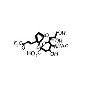 CC(=O)NC1C(O)CC(Oc2ccccc2CCC(=O)C(F)(F)F)(C(=O)O)OC1[C@H](O)[C@H](O)CO